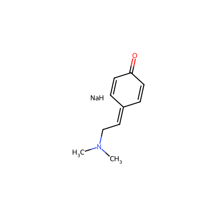 CN(C)CC=C1C=CC(=O)C=C1.[NaH]